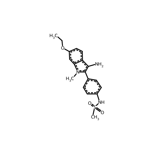 CCOc1ccc2c(N)c(-c3ccc(NS(C)(=O)=O)cc3)n(C)c2c1